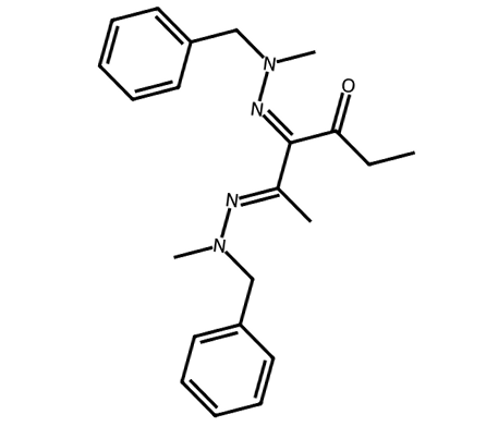 CCC(=O)C(=NN(C)Cc1ccccc1)C(C)=NN(C)Cc1ccccc1